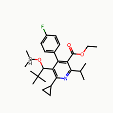 CCOC(=O)c1c(C(C)C)nc(C2CC2)c(C(O[SiH](C)C)C(C)(C)C)c1-c1ccc(F)cc1